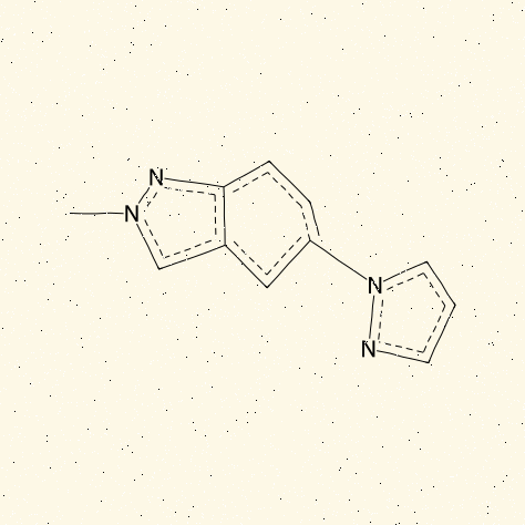 Cn1cc2cc(-n3cccn3)ccc2n1